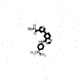 CN(C)[C@H]1CC[C@H](Nc2ncnc3ccc(-c4cncc(C(=O)NC(C)(C)C)c4)cc23)CC1